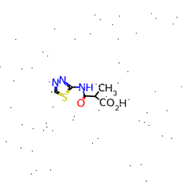 CC(C(=O)O)C(=O)Nc1nn[c]s1